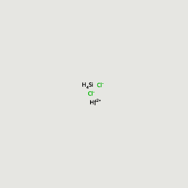 [Cl-].[Cl-].[Hf+2].[SiH4]